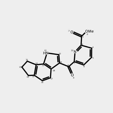 COC(=O)c1cccc(C(=O)c2c[nH]c3c4c(ccc23)CCC4)n1